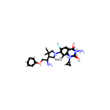 COc1c(N2CC(C(N)COc3ccccc3)C(C)(C)C2)c(F)cc2c(=O)n(N)c(=O)n(C3CC3)c12